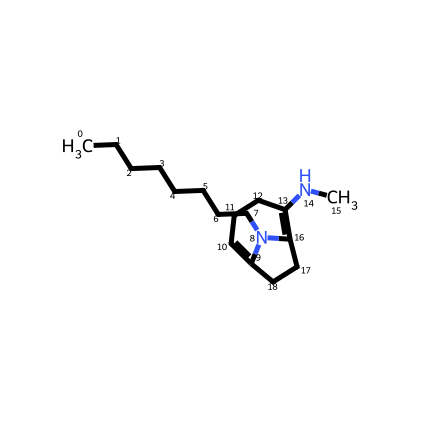 CCCCCCCCN1C2=CCCC(NC)=C1CC2